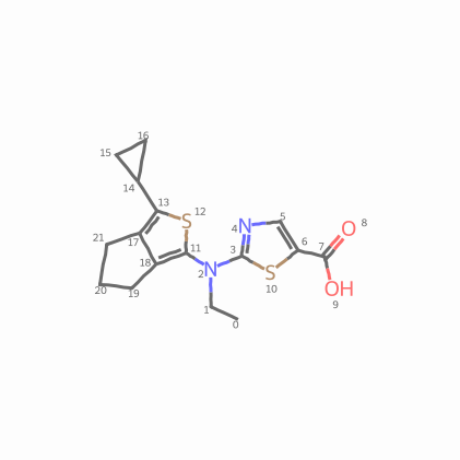 CCN(c1ncc(C(=O)O)s1)c1sc(C2CC2)c2c1CCC2